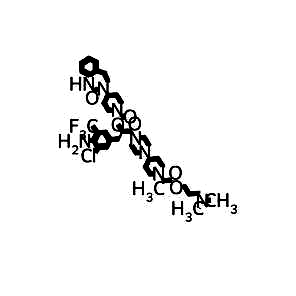 CC(C(=O)OCCCN(C)C)N1CCC(N2CCN(C(=O)[C@@H](Cc3cc(Cl)c(N)c(C(F)(F)F)c3)OC(=O)N3CCC(N4CCc5ccccc5NC4=O)CC3)CC2)CC1